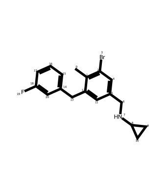 Cc1c(Br)cc(CNC2CC2)cc1Cc1cccc(F)c1